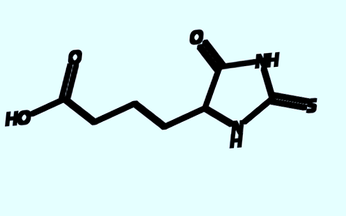 O=C(O)CCCC1NC(=S)NC1=O